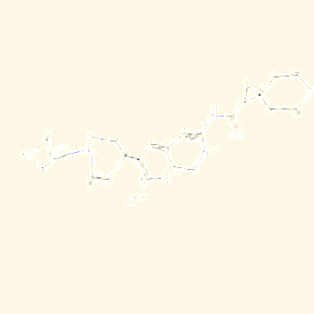 O=C(Nc1cc2cc(C3CCN(C4COC4)CC3)c(Cl)cc2cn1)[C@@H]1CC12CCOCC2